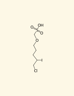 O=S(=O)(O)COCCCC(I)CCl